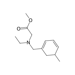 CCN(CC(=O)OC)CC1=CC=CC(C)C1